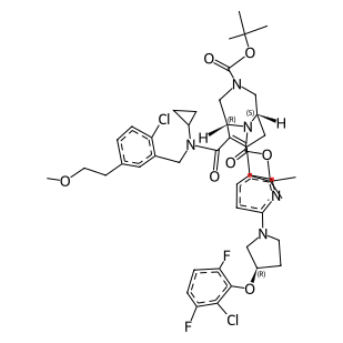 COCCc1ccc(Cl)c(CN(C(=O)C2=C(c3ccc(N4CC[C@@H](Oc5c(F)ccc(F)c5Cl)C4)nc3)C[C@H]3CN(C(=O)OC(C)(C)C)C[C@@H]2N3C(=O)OC(C)(C)C)C2CC2)c1